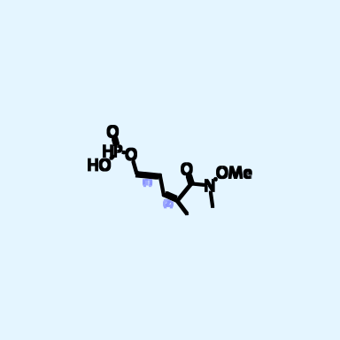 CON(C)C(=O)/C(C)=C\C=C\O[PH](=O)O